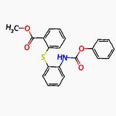 COC(=O)c1ccccc1Sc1ccccc1NC(=O)Oc1ccccc1